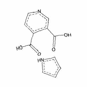 O=C(O)c1ccncc1C(=O)O.c1cc[nH]c1